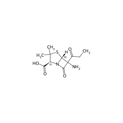 CCC(=O)C1(N)C(=O)N2[C@@H](C(=O)O)C(C)(C)S[C@@H]21